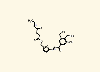 C/C=C/C(=O)SCC(=O)OCc1ccc(/C=C/C(=O)c2cc(O)c(CO)c(CO)c2)o1